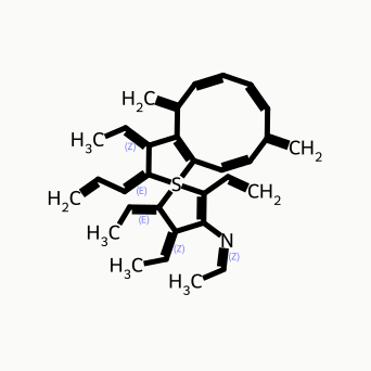 C=C/C=C1\C(=C/C)c2c(ccc(=C)ccccc2=C)S12C(C=C)=C(/N=C\C)C(=C/C)/C2=C\C